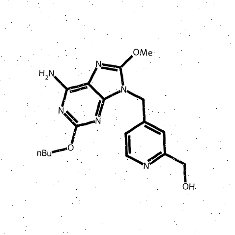 CCCCOc1nc(N)c2nc(OC)n(Cc3ccnc(CO)c3)c2n1